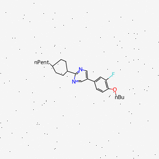 CCCCCC1CCC(c2ncc(-c3ccc(OCCCC)c(F)c3)cn2)CC1